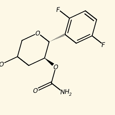 NC(=O)O[C@H]1CC(O)CO[C@@H]1c1cc(F)ccc1F